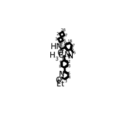 CCOc1cccc(-c2ccc(C(C)n3ncc4cccc(C(=O)NC5CC6(CCC6)C5)c43)cc2)n1